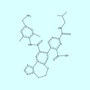 Cc1cc(CN)cc(C)c1NC(=O)c1cc2c(cc1-c1ccc(C(=O)NCC(C)C)nc1C(=O)O)OCCc1ccsc1-2